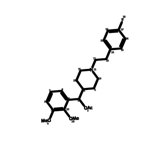 COc1cccc(C(OC(C)=O)C2CCN(CCc3ccc(F)cc3)CC2)c1OC